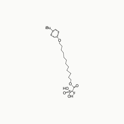 CCC(C)c1ccc(OCCCCCCCCCCCCOC(=O)C(F)=S(=O)(O)O)cc1